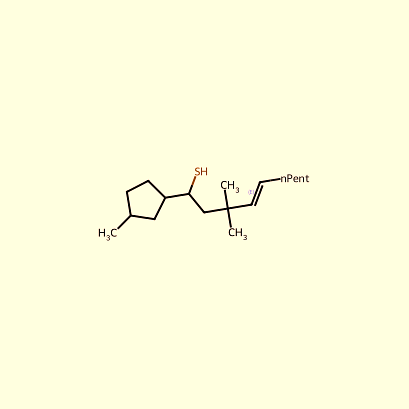 CCCCC/C=C/C(C)(C)CC(S)C1CCC(C)C1